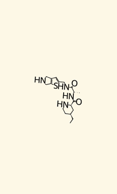 CC[C@H]1CCN[C@@H](C(=O)N[C@@H](C)C(=O)NCc2cc3c(s2)CNC3)C1